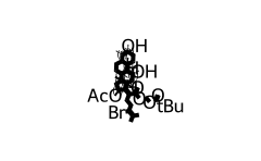 CC(=O)O[C@H]1C[C@@]2(C)[C@H](C[C@@H](O)[C@@H]3[C@@]4(C)CC[C@@H](O)[C@@H](C)C4CC[C@@]32C)C1=C(CCC(Br)=C(C)C)C(=O)OCOC(=O)C(C)(C)C